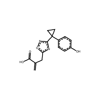 C=C(Cc1nc(C2(c3ccc(O)cc3)CC2)no1)C(=O)O